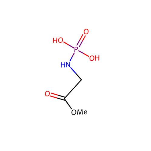 COC(=O)CNP(=O)(O)O